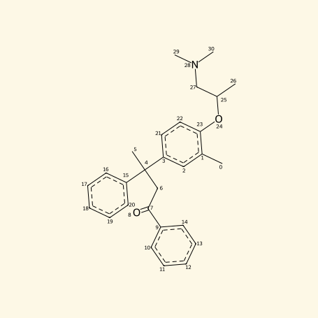 Cc1cc(C(C)(CC(=O)c2ccccc2)c2ccccc2)ccc1OC(C)CN(C)C